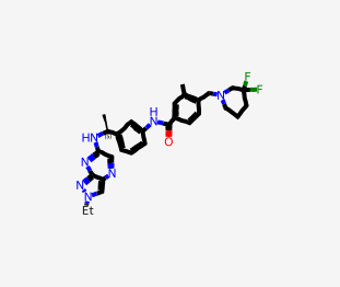 CCn1cc2ncc(N[C@@H](C)c3cccc(NC(=O)c4ccc(CN5CCCC(F)(F)C5)c(C)c4)c3)nc2n1